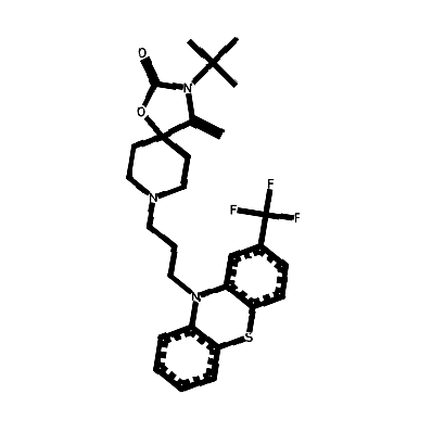 C=C1N(C(C)(C)C)C(=O)OC12CCN(CCCN1c3ccccc3Sc3ccc(C(F)(F)F)cc31)CC2